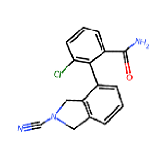 N#CN1Cc2cccc(-c3c(Cl)cccc3C(N)=O)c2C1